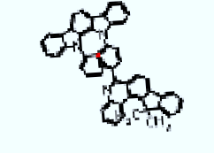 CC1(C)c2ccccc2-c2ccc3c(-c4ccc(-n5c6ccccc6c6ccc7c8ccccc8n(-c8ccccc8)c7c65)cc4)nc4ccccc4c3c21